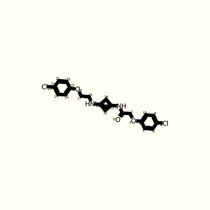 O=C(COc1ccc(Cl)cc1)NC12CC(NCCOc3ccc(Cl)cc3)(C1)C2